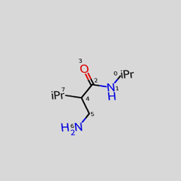 CC(C)NC(=O)C(CN)C(C)C